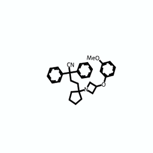 COc1cccc(OC2CN(C3(CCC(C#N)(c4ccccc4)c4ccccc4)CCCC3)C2)c1